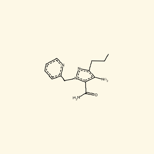 CCCc1nn(Cc2ccccn2)c(C(N)=O)c1N